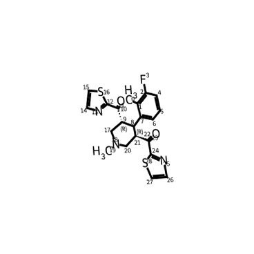 Cc1c(F)cccc1C1[C@@H](C(=O)c2nccs2)CN(C)C[C@@H]1C(=O)c1nccs1